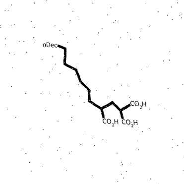 CCCCCCCCCCCCCCCCC(CC(C(=O)O)C(=O)O)C(=O)O